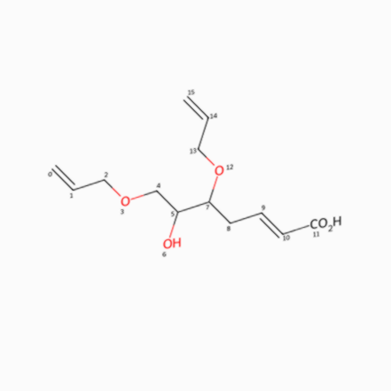 C=CCOCC(O)C(CC=CC(=O)O)OCC=C